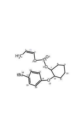 C/C=C\OS(=O)OC1CCCCC1Oc1ccc(C(C)(C)C)cc1